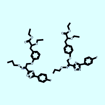 CCCO/N=C(\COc1ccc(CC(OCC)C(=O)OCC)cc1)c1nc(-c2ccc(F)cc2)no1.CCCO/N=C(\COc1cccc(CC(OCC)C(=O)OCC)c1)c1nc(-c2ccc(F)cc2)no1